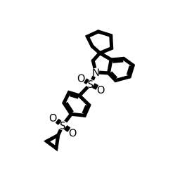 O=S(=O)(c1ccc(S(=O)(=O)N2CC3(CCCCC3)c3ccccc32)cc1)C1CC1